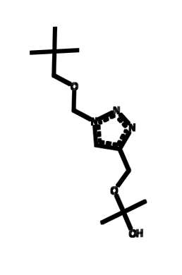 CC(C)(C)COCn1cc(COC(C)(C)O)nn1